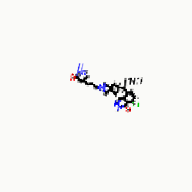 Cn1ncc2c(C(C=O)C3CC4(C3)CN(CCCc3cn[nH]c(=O)c3)C4)ccc(Cl)c2c1=O